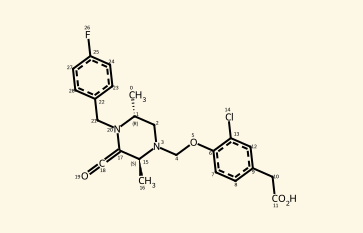 C[C@@H]1CN(COc2ccc(CC(=O)O)cc2Cl)[C@@H](C)C(=C=O)N1Cc1ccc(F)cc1